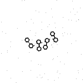 c1ccc(-c2cccc(-n3c4ccccc4c4c(-n5c6ccccc6c6cc(-n7c8ccccc8c8ccccc87)ccc65)cccc43)c2)cc1